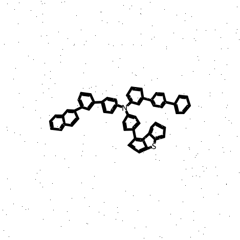 c1ccc(-c2ccc(-c3cccc(N(c4ccc(-c5cccc(-c6ccc7ccccc7c6)c5)cc4)c4ccc(-c5cccc6sc7ccccc7c56)cc4)c3)cc2)cc1